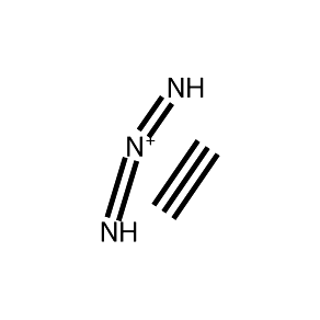 C#C.N=[N+]=N